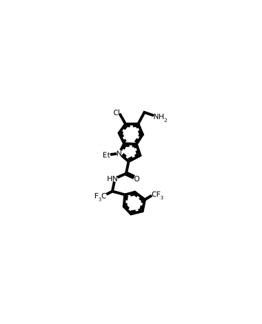 CCn1c(C(=O)NC(c2cccc(C(F)(F)F)c2)C(F)(F)F)cc2cc(CN)c(Cl)cc21